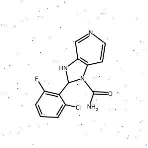 NC(=O)N1c2ccn[c]c2NC1c1c(F)cccc1Cl